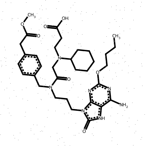 CCCCOc1nc(N)c2[nH]c(=O)n(CCCN(Cc3ccc(CC(=O)OC)cc3)C(=O)CN(CCC(=O)O)C3CCCCC3)c2n1